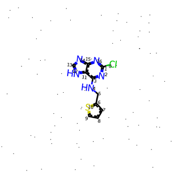 Clc1nc(NCc2cccs2)c2[nH]cnc2n1